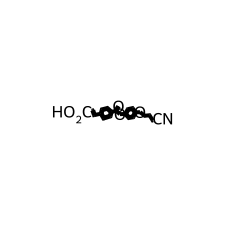 N#CCCCOc1ccc(OC(=O)c2ccc(/C=C/C(=O)O)cc2)cc1